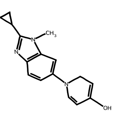 Cn1c(C2CC2)nc2ccc(N3C=CC(O)=CC3)cc21